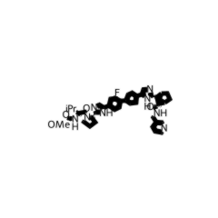 COC(=O)N[C@H](C(=O)N1CCC[C@H]1c1ncc(-c2ccc(-c3ccc(-c4cnc([C@H]5C6CCC(C6)[C@@H]5C(=O)NCc5cccnc5)[nH]4)cc3)c(F)c2)[nH]1)C(C)C